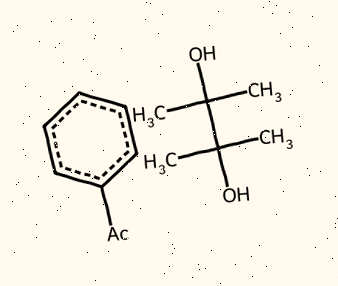 CC(=O)c1ccccc1.CC(C)(O)C(C)(C)O